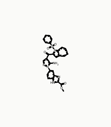 COC(=O)c1nc2cc(-n3ncc(C(=O)c4cc5ccccc5n4S(=O)(=O)c4ccccc4)c3N)ccc2[nH]1